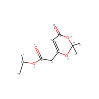 CC(C)OC(=O)CC1=CC(=O)OC(C)(C)O1